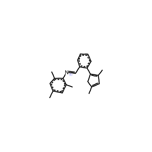 CC1=CC(C)=C(c2ccccc2/C=N/c2c(C)cc(C)cc2C)C1